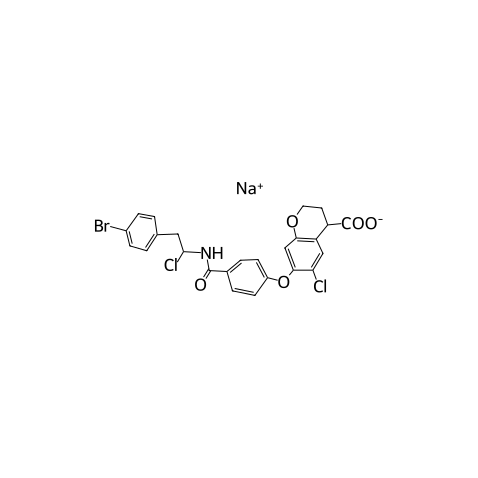 O=C(NC(Cl)Cc1ccc(Br)cc1)c1ccc(Oc2cc3c(cc2Cl)C(C(=O)[O-])CCO3)cc1.[Na+]